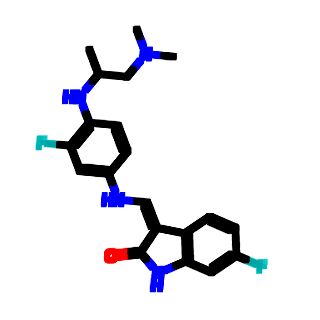 CC(CN(C)C)Nc1ccc(NC=C2C(=O)Nc3cc(F)ccc32)cc1F